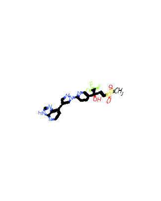 CS(=O)(=O)CCC(O)(c1ccc(-n2cc(-c3ccnc4[nH]cnc34)cn2)nc1)C(F)(F)F